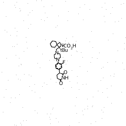 CC(C)(C)C1(CN2CCN(c3ccc(C4CCC(=O)NC4=O)cc3F)CC2)N(C(=O)O)CC12CCCCC2